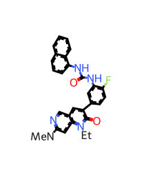 CCn1c(=O)c(-c2ccc(F)c(NC(=O)Nc3cccc4ccccc34)c2)cc2cnc(NC)cc21